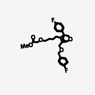 COC(=O)COCCCCC1C(COCc2ccc(F)cc2)C2CC1(c1ccc(F)cc1)CO2